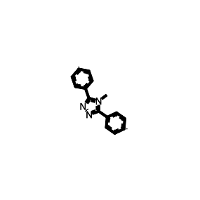 Cn1c(-c2cc[c]cc2)nnc1-c1cc[c]cc1